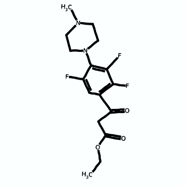 CCOC(=O)CC(=O)c1cc(F)c(N2CCN(C)CC2)c(F)c1F